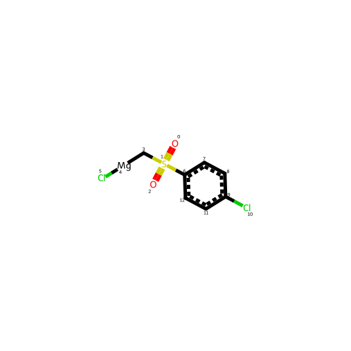 O=S(=O)([CH2][Mg][Cl])c1ccc(Cl)cc1